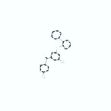 Nc1ccc(C(=O)c2cc(N)cc(Oc3ccccc3-c3ccccc3)c2)cc1